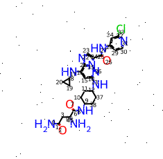 NC(=O)C[C@H](N)C(=O)N[C@H]1CC[C@H](Nc2cc(NC3CC3)c3ncc(C(=O)Nc4ccnc(Cl)c4)n3n2)CC1